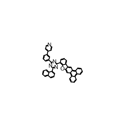 c1cc(-c2ccncc2)cc(-c2nc(-c3cccc4ccccc34)nc(-c3cccc4c3oc3cc5c6ccccc6c6ccccc6c5cc34)n2)c1